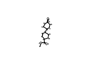 COC(=O)C1CCC(C2CCC(=O)CC2)CC1